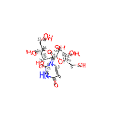 O=c1ccn([C@]2(C3O[C@H](CO)[C@@H](O)[C@@H]3O)O[C@H](CO)[C@@H](O)[C@H]2O)c(=O)[nH]1